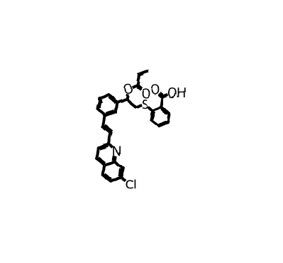 CCC(=O)OC(CSc1ccccc1C(=O)O)c1cccc(/C=C/c2ccc3ccc(Cl)cc3n2)c1